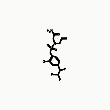 C=CCN(CC(N)=S)S(=O)(=O)Cc1ccc(C(F)C(F)F)cc1Cl